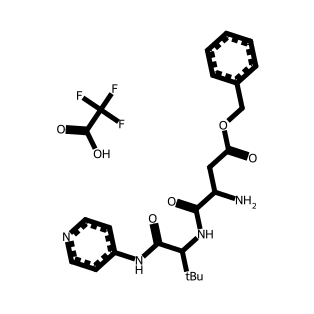 CC(C)(C)C(NC(=O)C(N)CC(=O)OCc1ccccc1)C(=O)Nc1ccncc1.O=C(O)C(F)(F)F